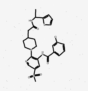 CC(NC(=O)CC1CCN(c2ncc(S(C)(=O)=O)cc2NC(=O)c2cccc(Cl)c2)CC1)c1cccs1